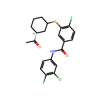 CC(=O)[C@@H]1CCCC(Sc2cc(C(=O)Nc3ccc(F)c(Cl)c3)ccc2F)C1